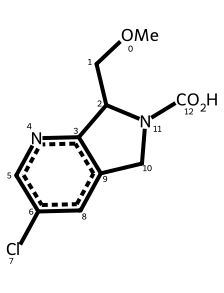 COCC1c2ncc(Cl)cc2CN1C(=O)O